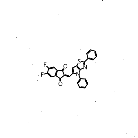 O=C1C(=Cc2cc3sc(-c4ccccc4)nc3n2-c2ccccc2)C(=O)c2cc(F)c(F)cc21